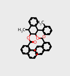 Cc1ccccc1C1c2ccccc2C(C)C(OC(=O)c2cccc3ccccc23)C1OC(=O)c1cccc2ccccc12